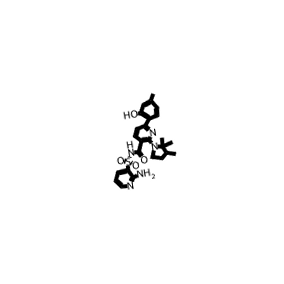 Cc1ccc(-c2ccc(C(=O)NS(=O)(=O)c3cccnc3N)c(N3CCC(C)C3(C)C)n2)c(O)c1